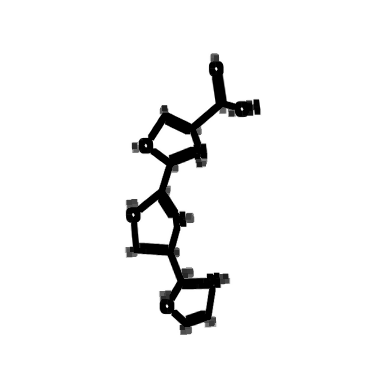 O=C(O)c1coc(-c2nc(-c3ncco3)co2)n1